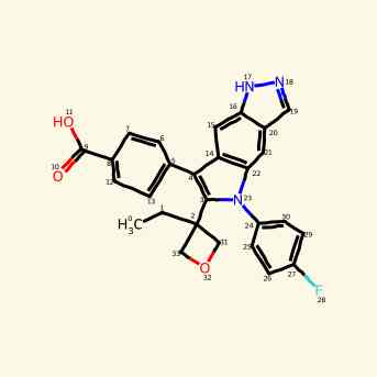 CCC1(c2c(-c3ccc(C(=O)O)cc3)c3cc4[nH]ncc4cc3n2-c2ccc(F)cc2)COC1